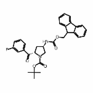 CC(C)(C)OC(=O)N1C[C@H](NC(=O)OCC2c3ccccc3-c3ccccc32)C[C@H]1C(=O)c1cccc(F)c1